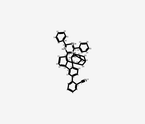 N#Cc1ccccc1-c1ccc2c(c1)-c1cccc(-c3nc(-c4ccccc4)nc(-c4ccccc4)n3)c1C21C2CC3CC(C2)CC1C3